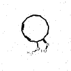 COC1C=CC=CCCCCCCC1=NO